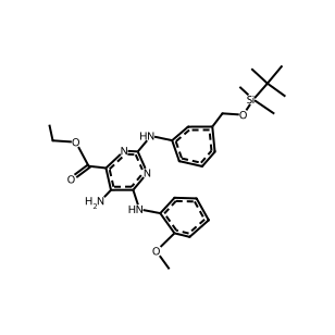 CCOC(=O)c1nc(Nc2cccc(CO[Si](C)(C)C(C)(C)C)c2)nc(Nc2ccccc2OC)c1N